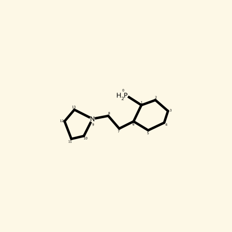 PC1CCCCC1CCN1CCCC1